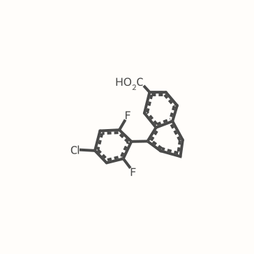 O=C(O)c1ccc2cccc(-c3c(F)cc(Cl)cc3F)c2c1